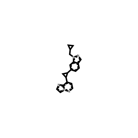 c1cn2nccc(C3CC3c3ccc4cnn(CC5CC5)c4c3)c2n1